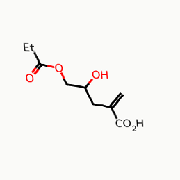 C=C(CC(O)COC(=O)CC)C(=O)O